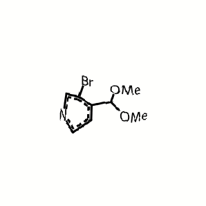 COC(OC)c1ccncc1Br